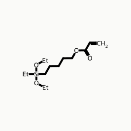 C=CC(=O)OCCCCC[Si](CC)(OCC)OCC